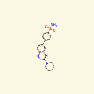 NS(=O)(=O)c1ccc(-c2ccc3ncc(N4CCCCC4)nc3c2)cc1